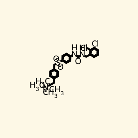 CN(C)C(C)(C)Cc1ccc(CS(=O)(=O)c2ccc(NC(=O)NCc3cccc(Cl)c3Cl)cc2)cc1